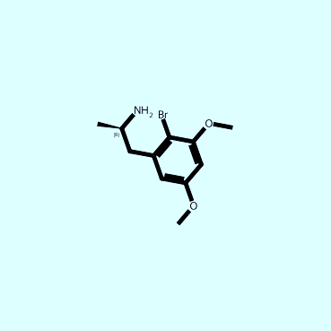 COc1cc(C[C@@H](C)N)c(Br)c(OC)c1